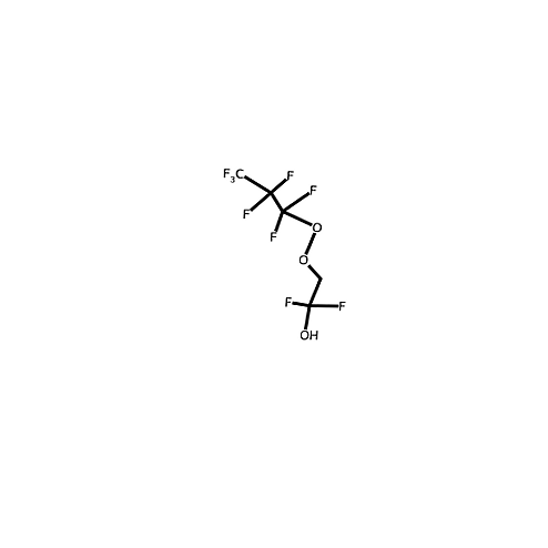 OC(F)(F)COOC(F)(F)C(F)(F)C(F)(F)F